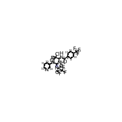 CC(Cl)(Cl)C(NC(=O)c1ccc(C(F)(F)F)cc1)N/C(=N\S(=O)(=O)C(F)(F)F)Nc1cccnc1